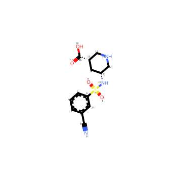 N#Cc1cccc(S(=O)(=O)N[C@H]2CNC[C@@H](C(=O)O)C2)c1